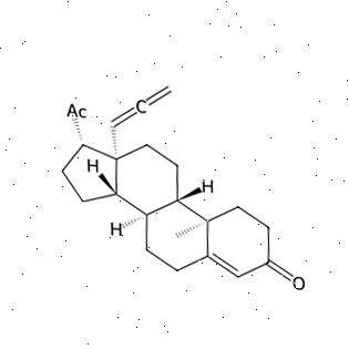 C=C=C[C@]12CC[C@H]3[C@@H](CCC4=CC(=O)CC[C@@]43C)[C@@H]1CC[C@@H]2C(C)=O